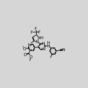 COC(=O)c1cc(-c2cnc(Nc3cc(C)cc(C#N)c3)nc2N2NC(C(F)(F)F)C=C2C)cnc1OC